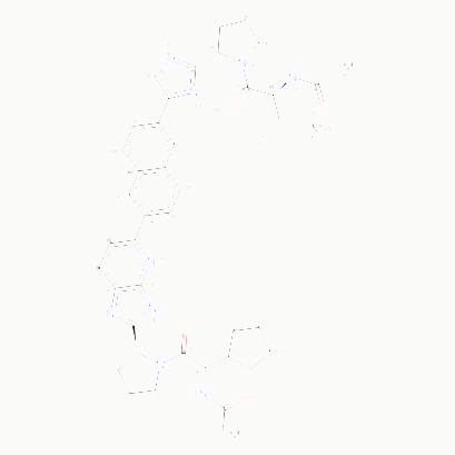 COC(=O)N[C@H](C(=O)N1CCC[C@H]1c1nc2ccc(-c3ccc4cc(-c5cnc([C@@H]6CCCN6C(=O)[C@@H](NC(=O)OC)[C@@H](C)OC)[nH]5)ccc4c3)nc2[nH]1)C1CCCC1